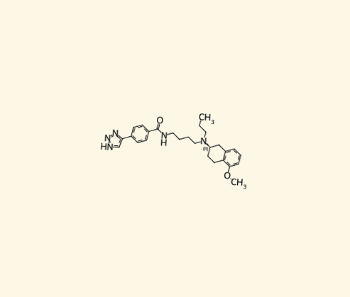 CCCN(CCCCNC(=O)c1ccc(-c2c[nH]nn2)cc1)[C@@H]1CCc2c(cccc2OC)C1